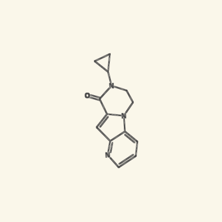 O=C1c2cc3ncccc3n2CCN1C1CC1